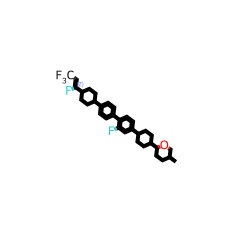 CC1CCC(C2CCC(c3ccc(-c4ccc(C5CCC(/C(F)=C/C(F)(F)F)CC5)cc4)c(F)c3)CC2)OC1